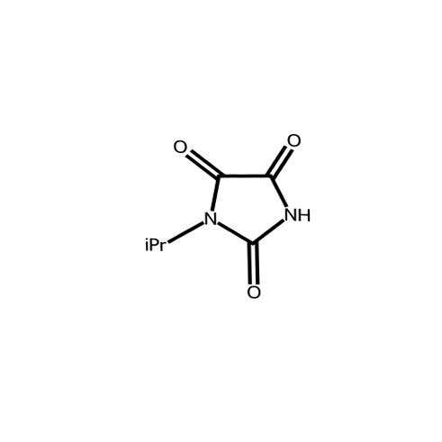 CC(C)N1C(=O)NC(=O)C1=O